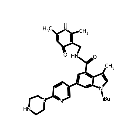 CCC(C)n1cc(C)c2c(C(=O)NCc3c(C)[nH]c(C)cc3=O)cc(-c3ccc(N4CCNCC4)nc3)cc21